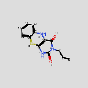 CCCn1c(=O)[nH]c2c(c1=O)Nc1ccccc1S2